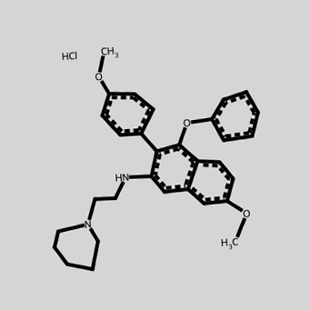 COc1ccc(-c2c(NCCN3CCCCC3)cc3cc(OC)ccc3c2Oc2ccccc2)cc1.Cl